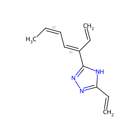 C=C/C(=C\C=C/C)c1nnc(C=C)[nH]1